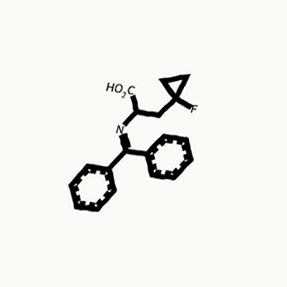 O=C(O)C(CC1(F)CC1)N=C(c1ccccc1)c1ccccc1